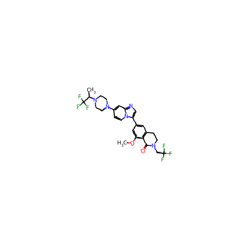 COc1cc(-c2cnc3cc(N4CCN(C(C)C(F)(F)F)CC4)ccn23)cc2c1C(=O)N(CC(F)(F)F)CC2